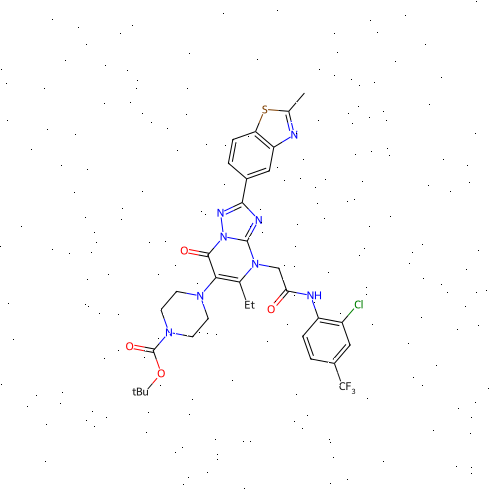 CCc1c(N2CCN(C(=O)OC(C)(C)C)CC2)c(=O)n2nc(-c3ccc4sc(C)nc4c3)nc2n1CC(=O)Nc1ccc(C(F)(F)F)cc1Cl